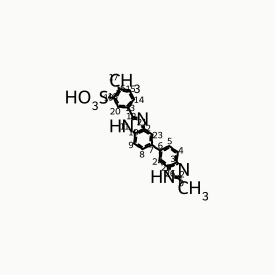 Cc1nc2ccc(-c3ccc4[nH]c(-c5ccc(C)c(S(=O)(=O)O)c5)nc4c3)cc2[nH]1